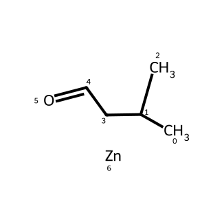 CC(C)CC=O.[Zn]